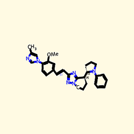 COc1cc(/C=C/c2nc3n(n2)CCC[C@@H]3[C@@H]2CCCN2c2ccccc2)ccc1-n1cnc(C)c1